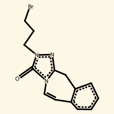 O=c1n(CCCBr)nc2n1C=Cc1ccccc1C2